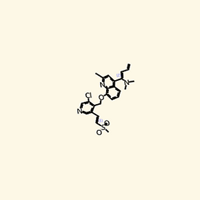 C=C/C=C(/c1cc(C)nc2c(OCc3c(Cl)cncc3/C=C/S(C)(=O)=O)cccc12)N(C)C